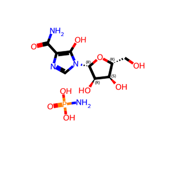 NC(=O)c1ncn([C@@H]2O[C@H](CO)[C@@H](O)[C@H]2O)c1O.NP(=O)(O)O